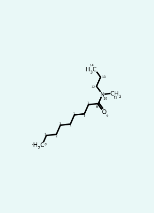 [CH2]CCCCCCCC(=O)N(C)CCC